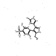 Cc1nc(-c2noc(CF)c2-c2cc(F)c(S(C)(=O)=O)cc2F)cs1